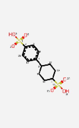 O=S(=O)(O)c1ccc(C2CCC(S(=O)(=O)O)CC2)cc1